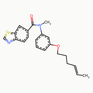 CC=CCCCOc1cccc(N(C)C(=O)c2ccc3ncsc3c2)c1